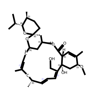 CO[C@H]1C[C@@]2(O)/C(CO)=C/C=C/[C@H](C)C/C(C)=C\C[C@@H]3C[C@@H](C[C@]4(CC[C@H](C)[C@@H](C(C)C)O4)O3)OC(=O)[C@@H]2C=C1C